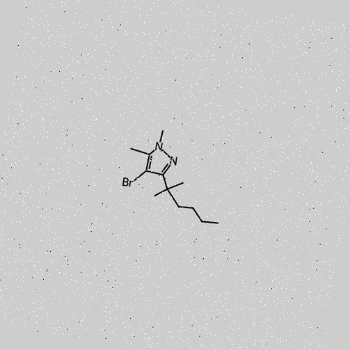 CCCCC(C)(C)c1nn(C)c(C)c1Br